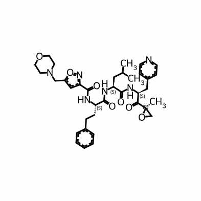 CC(C)C[C@H](NC(=O)[C@H](CCc1ccccc1)NC(=O)c1cc(CN2CCOCC2)on1)C(=O)N[C@@H](Cc1ccncc1)C(=O)[C@@]1(C)CO1